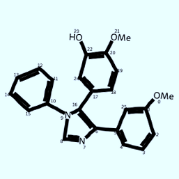 COc1cccc(-c2ncn(-c3ccccc3)c2-c2ccc(OC)c(O)c2)c1